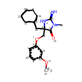 CN1C(=N)NC(COc2cccc(OC(F)(F)F)c2)(CC2CCCCC2)C1=O